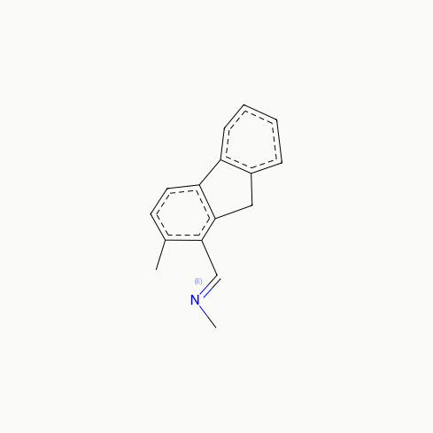 C/N=C/c1c(C)ccc2c1Cc1ccccc1-2